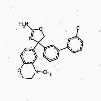 CN1CCOc2ccc(C3(c4cccc(-c5cccc(Cl)c5)c4)COC(N)=N3)cc21